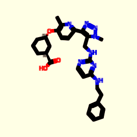 Cc1nc(-c2nnn(C)c2CNc2nccc(NCCc3ccccc3)n2)ccc1O[C@H]1CCC[C@H](C(=O)O)C1